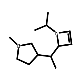 CB1CCC(C(C)C2C=CN2C(C)C)C1